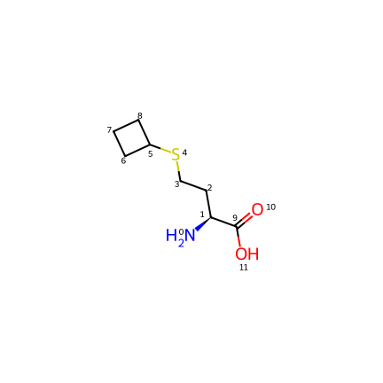 N[C@@H](CCSC1CCC1)C(=O)O